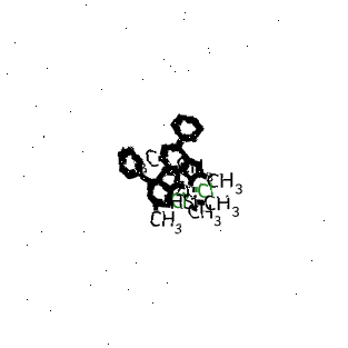 CC1=Cc2c(-c3ccccc3)cc(C)cc2[CH]1[Zr]([Cl])([Cl])([CH]1C(C)=Cc2c(-c3ccccc3)cc(C)cc21)[SiH](C)C